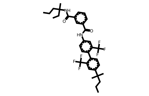 CCCC(C)(CC)NC(=O)c1cccc(C(=O)Nc2ccc(-c3ccc(C(C)(C)CCC)cc3C(F)(F)F)c(C(F)(F)F)c2)c1